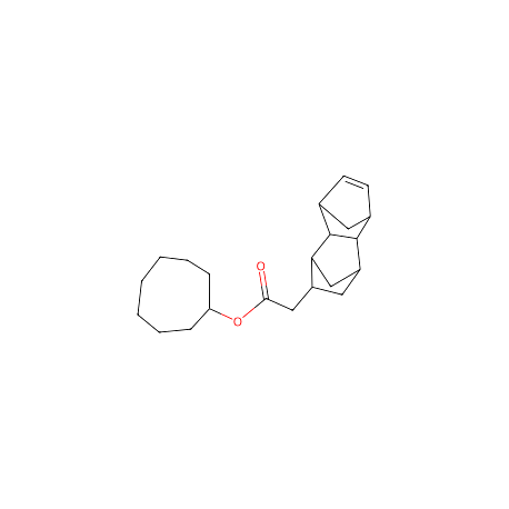 O=C(CC1CC2CC1C1C3C=CC(C3)C21)OC1CCCCCCC1